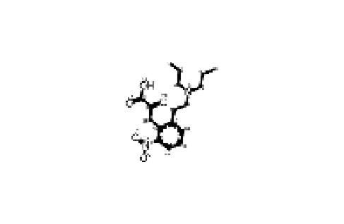 CCCN(CCC)CCc1cccc([N+](=O)[O-])c1CC(=O)C(=O)O